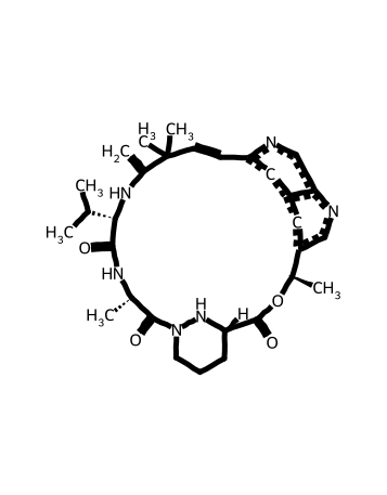 C=C1N[C@@H](C(C)C)C(=O)N[C@@H](C)C(=O)N2CCC[C@H](N2)C(=O)O[C@H](C)c2cnc3cnc(cc3c2)/C=C/C1(C)C